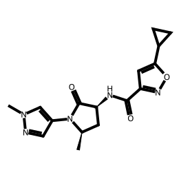 C[C@@H]1C[C@H](NC(=O)c2cc(C3CC3)on2)C(=O)N1c1cnn(C)c1